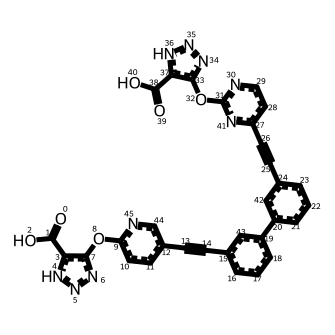 O=C(O)c1[nH]nnc1Oc1ccc(C#Cc2cccc(-c3cccc(C#Cc4ccnc(Oc5nn[nH]c5C(=O)O)n4)c3)c2)cn1